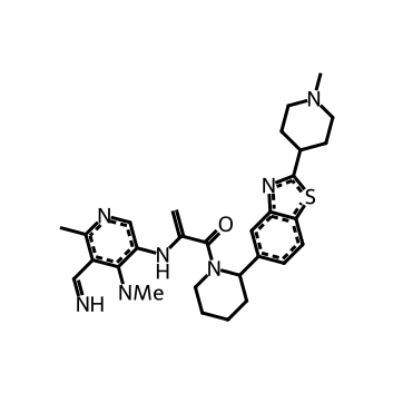 C=C(Nc1cnc(C)c(C=N)c1NC)C(=O)N1CCCCC1c1ccc2sc(C3CCN(C)CC3)nc2c1